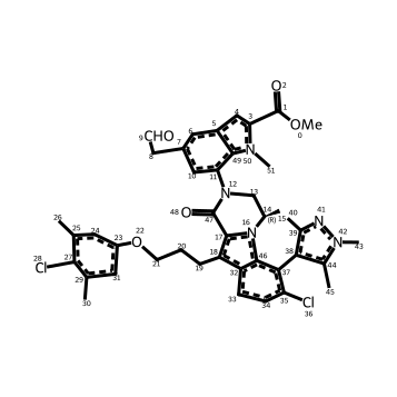 COC(=O)c1cc2cc(CC=O)cc(N3C[C@@H](C)n4c(c(CCCOc5cc(C)c(Cl)c(C)c5)c5ccc(Cl)c(-c6c(C)nn(C)c6C)c54)C3=O)c2n1C